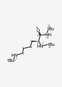 CC(C)(C)NCCCC[C@H](NC(C)(C)C)C(=O)NC(C)(C)C